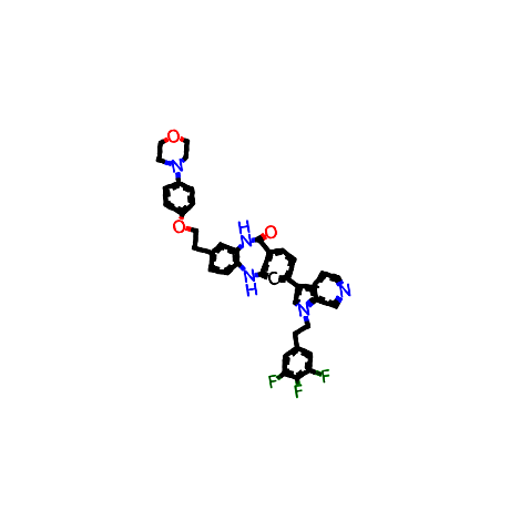 O=C1Nc2cc(CCOc3ccc(N4CCOCC4)cc3)ccc2Nc2cc(-c3cn(CCc4cc(F)c(F)c(F)c4)c4cnccc34)ccc21